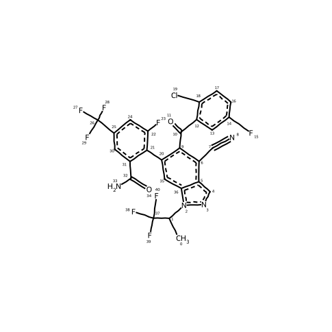 CC(n1ncc2c(C#N)c(C(=O)c3cc(F)ccc3Cl)c(-c3c(F)cc(C(F)(F)F)cc3C(N)=O)cc21)C(F)(F)F